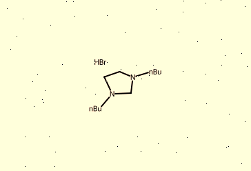 Br.CCCCN1CCN(CCCC)C1